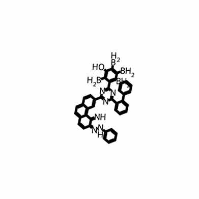 Bc1c(B)c(O)c(B)c(-c2nc(-c3ccc4ccc5c(c4c3)C(=N)/C(=N\Nc3ccccc3)C=C5)nc(-c3ccccc3-c3ccccc3)n2)c1B